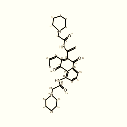 C=C(NC(=O)CN1CCCCC1)C1=C(/C=C\C)C(=O)c2c(NC(=O)CN3CCCCC3)cccc2C1=O